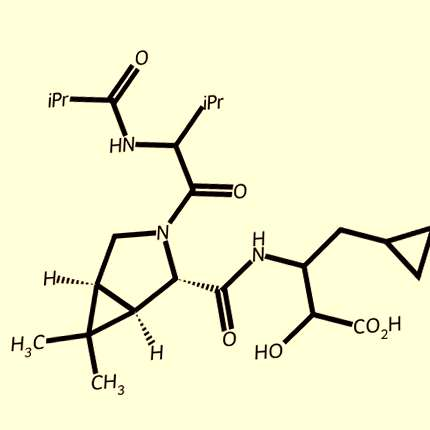 CC(C)C(=O)NC(C(=O)N1C[C@H]2[C@@H]([C@H]1C(=O)NC(CC1CC1)C(O)C(=O)O)C2(C)C)C(C)C